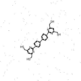 SCc1cc(CS)nc(-c2ccc(-c3ccc(-c4nc(CS)cc(CS)n4)cc3)cc2)n1